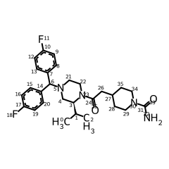 CC(C)[C@H]1CN(C(c2ccc(F)cc2)c2ccc(F)cc2)CCN1C(=O)CC1CCN(C(N)=O)CC1